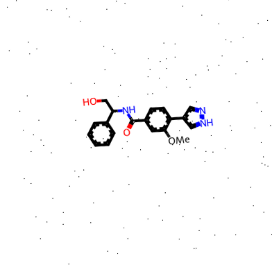 COc1cc(C(=O)NC(CO)c2ccccc2)ccc1-c1cn[nH]c1